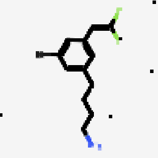 CCc1cc(C=C(F)F)cc(CCCCN)c1